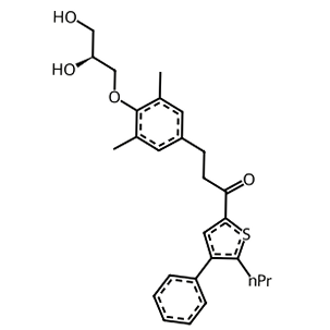 CCCc1sc(C(=O)CCc2cc(C)c(OC[C@@H](O)CO)c(C)c2)cc1-c1ccccc1